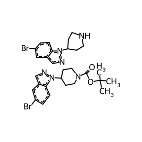 Brc1ccc2c(cnn2C2CCNCC2)c1.CC(C)(C)OC(=O)N1CCC(n2ncc3cc(Br)ccc32)CC1